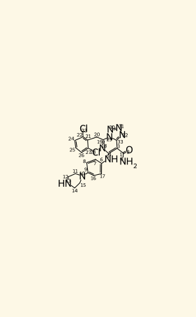 NC(=O)c1c(Nc2ccc(N3CCNCC3)cc2)nc(Cc2c(Cl)cccc2Cl)n2nnnc12